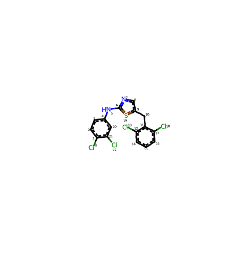 Clc1ccc(Nc2ncc(Cc3c(Cl)cccc3Cl)s2)cc1Cl